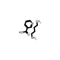 CCCCCN.O=C(O)c1cccnc1